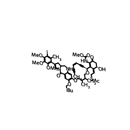 CC#C/C=C\C#C[C@H](OCC(C)C(C)COc1cc2c(cc1OCC(C)CC)C(=O)N1C=C(c3c(C)c(I)c(OC)c(OC)c3OC)CC1CN2)C1=C(NC(=O)OC)C(=O)C[C@H](O)/C1=C/CSC(C)=O